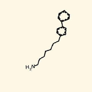 NCCCCCCCc1ccc(-c2ccccc2)cc1